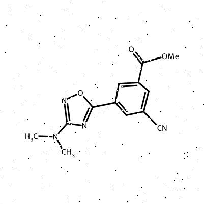 COC(=O)c1cc(C#N)cc(-c2nc(N(C)C)no2)c1